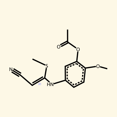 COc1ccc(N/C(=C/C#N)SC)cc1OC(C)=O